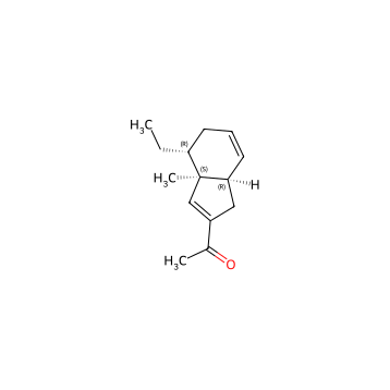 CC[C@@H]1CC=C[C@H]2CC(C(C)=O)=C[C@@]12C